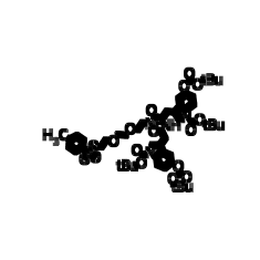 Cc1ccc(S(=O)(=O)OCCOCCOCCNC(=O)C(Cc2cn(C(=O)OC(C)(C)C)c3ccc(OC(=O)OC(C)(C)C)cc23)NC(=O)Cc2cn(C(=O)OC(C)(C)C)c3ccc(OC(=O)OC(C)(C)C)cc23)cc1